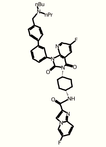 CCCCN(CCC)Cc1ccc(-c2cccc(-n3c(=O)n([C@H]4CC[C@@H](NC(=O)c5cn6cc(F)ccc6n5)CC4)c(=O)c4cc(F)cnc43)c2)cc1